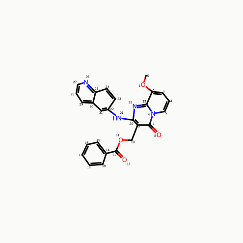 COc1cccn2c(=O)c(COC(=O)c3ccccc3)c(Nc3ccc4ncccc4c3)nc12